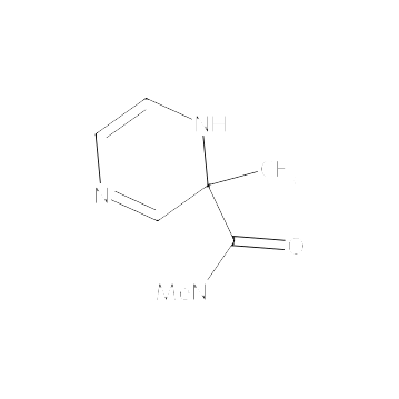 CNC(=O)C1(C(F)(F)F)C=NC=CN1